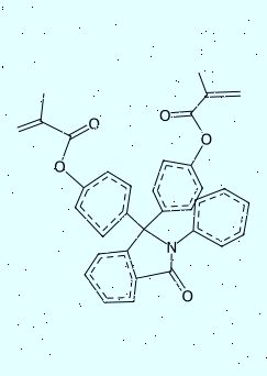 C=C(C)C(=O)Oc1ccc(C2(c3ccc(OC(=O)C(=C)C)cc3)c3ccccc3C(=O)N2c2ccccc2)cc1